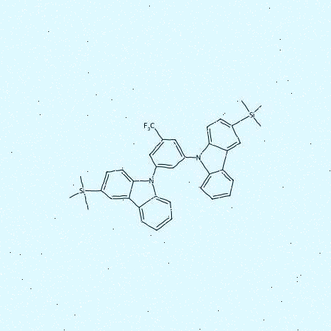 C[Si](C)(C)c1ccc2c(c1)c1ccccc1n2-c1cc(-n2c3ccccc3c3cc([Si](C)(C)C)ccc32)cc(C(F)(F)F)c1